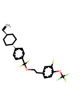 C=C[C@H]1CC[C@H](c2ccc(C(F)(F)OCCc3ccc(OC(F)(F)F)c(F)c3)cc2)CC1